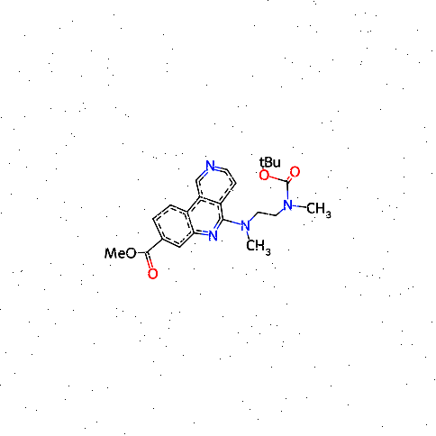 COC(=O)c1ccc2c(c1)nc(N(C)CCN(C)C(=O)OC(C)(C)C)c1ccncc12